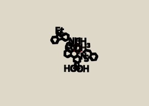 CCn1c2ccccc2c2cc(NC(=O)c3ccccc3-c3c(C(=O)O)cccc3-c3cc(N(O)O)cc(N4CC=Cc5ccccc5S4)c3-c3ccc(C)cc3)ccc21